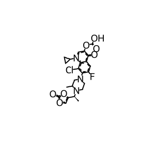 CC1CN(c2c(F)cc3c(=O)c(OC(=O)O)cn(C4CC4)c3c2Cl)CCN1[C@@H](C)c1coc(=O)o1